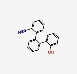 N#Cc1ccccc1-c1ccccc1-c1ccccc1O